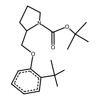 CC(C)(C)OC(=O)N1CCCC1COc1ccccc1C(C)(C)C